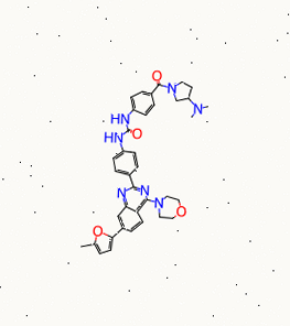 Cc1ccc(-c2ccc3c(N4CCOCC4)nc(-c4ccc(NC(=O)Nc5ccc(C(=O)N6CCC(N(C)C)C6)cc5)cc4)nc3c2)o1